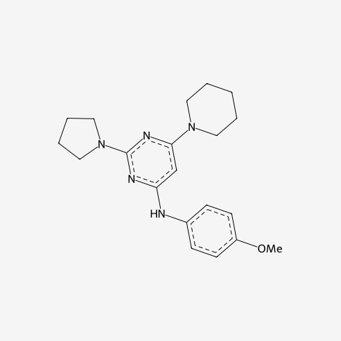 COc1ccc(Nc2cc(N3CCCCC3)nc(N3CCCC3)n2)cc1